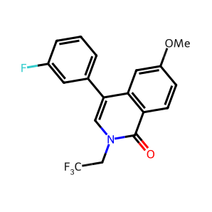 COc1ccc2c(=O)n(CC(F)(F)F)cc(-c3cccc(F)c3)c2c1